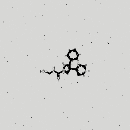 CCNC(=O)n1cc(-c2ccncn2)c(-c2ccccc2)n1